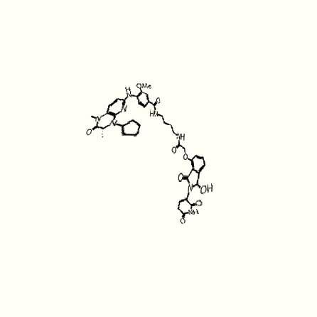 COc1cc(C(=O)NCCCCNC(=O)COc2cccc3c2C(=O)N(C2CCC(=O)NC2=O)C3O)ccc1Nc1ccc2c(n1)N(C1CCCC1)[C@H](C)C(=O)N2C